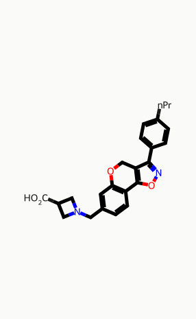 CCCc1ccc(-c2noc3c2COc2cc(CN4CC(C(=O)O)C4)ccc2-3)cc1